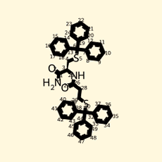 NC(=O)[C@@H](CSC(c1ccccc1)(c1ccccc1)c1ccccc1)NC(=O)[CH]CSC(c1ccccc1)(c1ccccc1)c1ccccc1